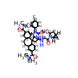 CN(C)C(=O)c1ccc2c(c1)CCc1cc(C(=O)N(C)C)ccc1C2(CCNCC(=O)N1C(C#N)C[C@@H]2C[C@@H]21)c1nn(-c2ccc(F)cc2)c(=O)[nH]1